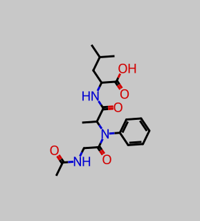 CC(=O)NCC(=O)N(c1ccccc1)C(C)C(=O)NC(CC(C)C)C(=O)O